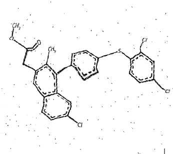 COC(=O)Cc1cc2ccc(Cl)cc2c(-c2ccc(Sc3ccc(Cl)cc3Cl)cc2)c1C